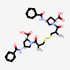 CC(CSSCC(C)C(=O)N1C[C@H](NC(=O)c2ccccc2)C[C@H]1C(=O)O)C(=O)N1C[C@H](NC(=O)c2ccccc2)C[C@H]1C(=O)O